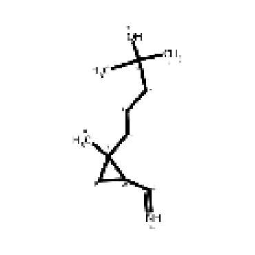 CC(C)(O)CCCC1(C)CC1C=N